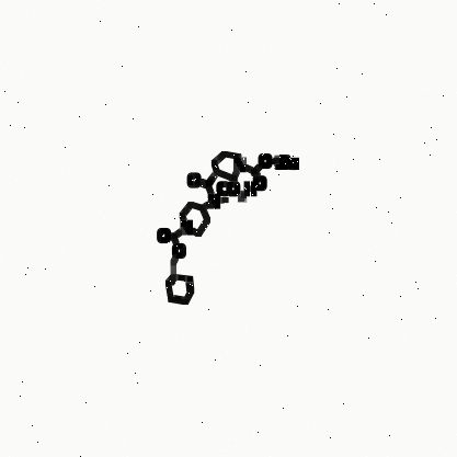 CN(C(=O)[C@H]1CCCN(C(=O)OC(C)(C)C)[C@H]1C(=O)O)C1CCN(C(=O)OCc2ccccc2)CC1